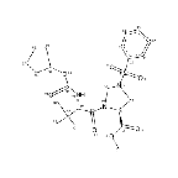 COC(=O)[C@@H]1CN(S(=O)(=O)c2ccccc2)CN1C(=O)[C@@H](NC(=O)OC1CCCC1)C(C)(C)C